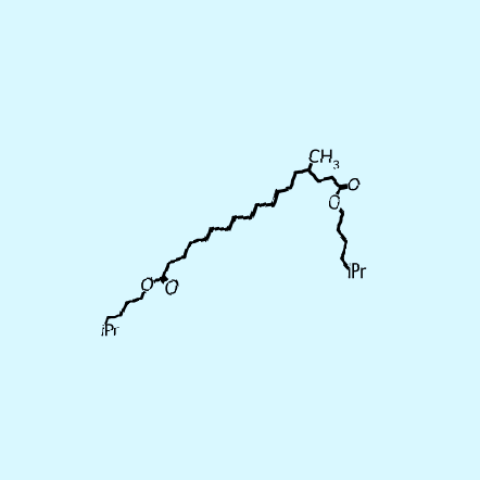 CC(C)CCCCOC(=O)CCCCCCCCCCCCCC(C)CCC(=O)OCCCCC(C)C